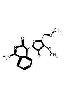 COC[C@H]1O[C@@H](C2C(=O)N=C(N)c3ccccc32)[C@H](F)[C@@H]1OC